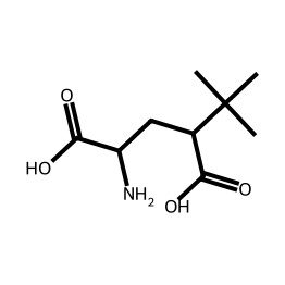 CC(C)(C)C(CC(N)C(=O)O)C(=O)O